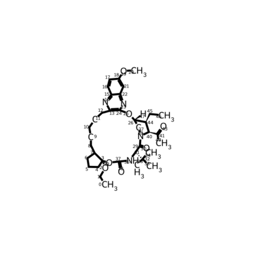 CCO[C@@]12CCCC1CCCCCc1nc3ccc(OC)cc3nc1O[C@H]1CN(C(=O)[C@H](C(C)(C)C)NC(=O)O2)[C@H](C(C)=O)[C@@H]1CC